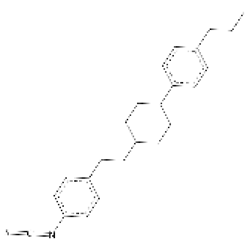 CCCc1ccc(C2CCC(CCc3ccc(N=C=S)cc3)CC2)cc1